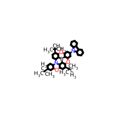 CC(C)(C)c1ccc2c(c1)Oc1cc(C(C)(C)C)c3c4c1N2c1ccc(C(C)(C)C)c2c1B4c1c(cc(-n4c5ccccc5c5ccccc54)cc1O3)O2